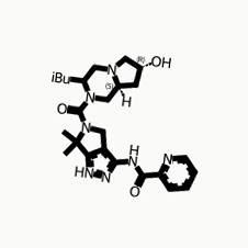 CCC(C)C1CN2C[C@H](O)C[C@H]2CN1C(=O)N1Cc2c(NC(=O)c3ccccn3)n[nH]c2C1(C)C